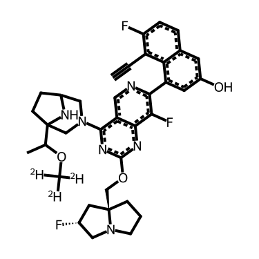 [2H]C([2H])([2H])OC(C)C12CCC(CN(c3nc(OC[C@@]45CCCN4C[C@H](F)C5)nc4c(F)c(-c5cc(O)cc6ccc(F)c(C#C)c56)ncc34)C1)N2